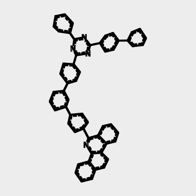 c1ccc(-c2ccc(-c3nc(-c4ccccc4)nc(-c4ccc(-c5cccc(-c6ccc(-c7nc8c9ccccc9ccc8c8ccccc78)cc6)c5)cc4)n3)cc2)cc1